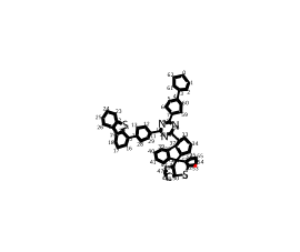 c1ccc(-c2ccc(-c3nc(-c4ccc(-c5cccc6c5sc5ccccc56)cc4)nc(-c4cccc5c4-c4ccccc4C54c5ccccc5Sc5ccccc54)n3)cc2)cc1